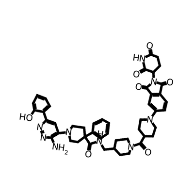 Nc1nnc(-c2ccccc2O)cc1N1CCC(C(=O)NCC2CCN(C(=O)C3CCN(c4ccc5c(c4)C(=O)N(C4CCC(=O)NC4=O)C5=O)CC3)CC2)(c2ccccc2)CC1